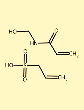 C=CC(=O)NCO.C=CCS(=O)(=O)O